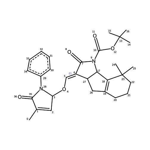 CC1=CC(O/C=C2/C(=O)N(C(=O)OC(C)(C)C)C3C4=C(CCCC4(C)C)CC23)N(c2ccccc2)C1=O